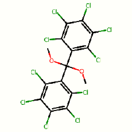 COC(OC)(c1c(Cl)c(Cl)c(Cl)c(Cl)c1Cl)c1c(Cl)c(Cl)c(Cl)c(Cl)c1Cl